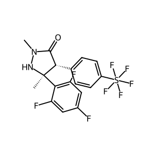 CN1N[C@](C)(c2c(F)cc(F)cc2F)[C@@H](c2ccc(S(F)(F)(F)(F)F)cc2)C1=O